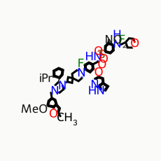 COc1cc(CN2CCN(C3CC4(CCN(c5cc(Oc6cnc7[nH]ccc7c6)c(C(=O)NS(=O)(=O)c6ccc(NCC7(F)CCOCC7)c([N+](=O)[O-])c6)cc5F)CC4)C3)[C@H](c3ccccc3C(C)C)C2)cc2cc(C)oc12